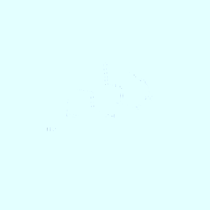 O=C(c1ccc(O)cc1O)[13c]1[13cH][13cH][13cH][13cH][13cH]1